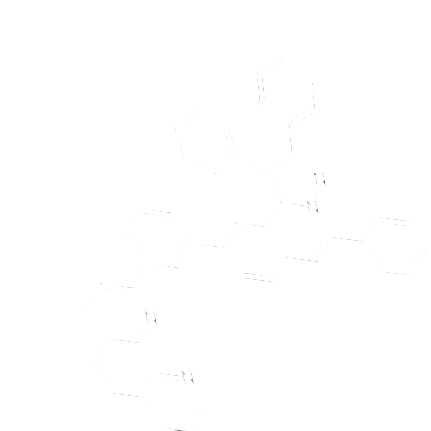 c1ccc(-c2nn3c(-c4ccccc4)cc4ccc(-c5cccc(-c6ccc7ccc8cccnc8c7n6)c5)cc4c3c2-c2ccccc2)cc1